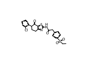 CCS(=O)(=O)c1ccc(CC(=O)Nc2nc3c(s2)C(=O)C(c2ccccc2Cl)CC3)cc1